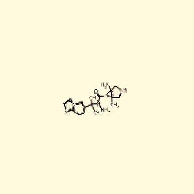 CC(C)(c1ccc2nccn2c1)N(N)C(=O)[C@H]1[C@]2(N)CNC[C@]12N